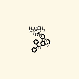 CC(C)(C)OC(=O)N1CCC2C(C1)c1cc(N=C(c3ccccc3)c3ccccc3)cc3c1N2CCCS3